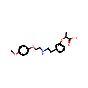 COc1ccc(OCCNCCc2cccc(OC(C)C(=O)O)c2)cc1